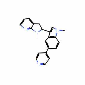 Cn1cc(C2Cc3cccnc3N2)c2cc(-c3ccncc3)ccc21